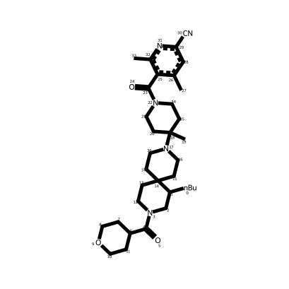 CCCCC1CN(C(=O)C2CCOCC2)CCC12CCN(C1(C)CCN(C(=O)c3c(C)cc(C#N)nc3C)CC1)CC2